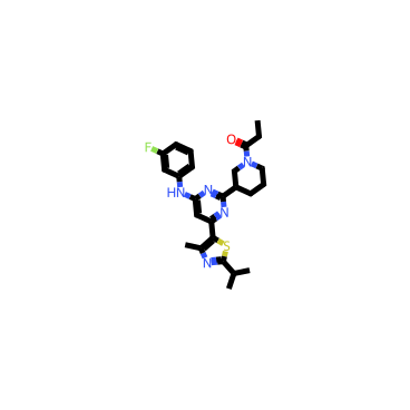 CCC(=O)N1CCCC(c2nc(Nc3cccc(F)c3)cc(-c3sc(C(C)C)nc3C)n2)C1